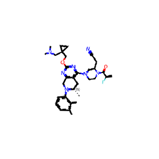 C=C(F)C(=O)N1CCN(c2nc(OCC3(CN(C)C)CC3)nc3c2C[C@H](C)N(c2cccc(C)c2C)C3)CC1CC#N